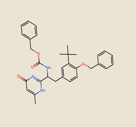 Cc1cc(=O)nc(C(Cc2ccc(OCc3ccccc3)c(C(C)(C)C)c2)NC(=O)OCc2ccccc2)[nH]1